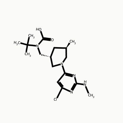 CNc1nc(Cl)cc(N2C[C@H](C)C[C@@H](CN(C(=O)O)C(C)(C)C)C2)n1